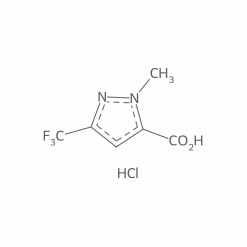 Cl.Cn1nc(C(F)(F)F)cc1C(=O)O